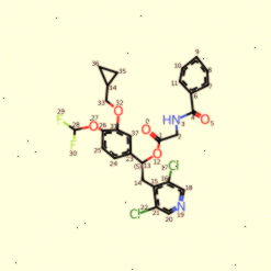 O=C(CNC(=O)c1ccccc1)O[C@@H](Cc1c(Cl)cncc1Cl)c1ccc(OC(F)F)c(OCC2CC2)c1